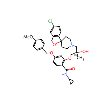 COc1ccc(COc2ccc(C(=O)NC3CC3)c(OC[C@@](C)(O)CN3CCC4(CC3)OCc3cc(Cl)ccc34)c2)cc1